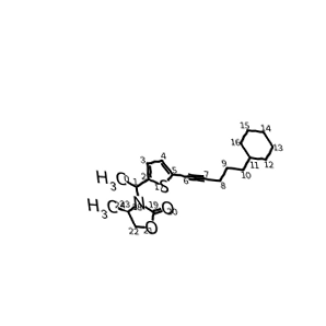 CC(c1ccc(C#CCCCC2CCCCC2)s1)N1C(=O)OC[C@H]1C